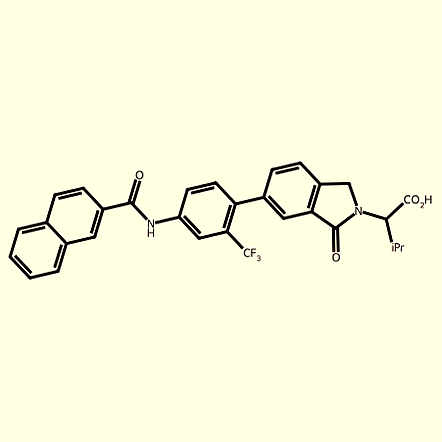 CC(C)C(C(=O)O)N1Cc2ccc(-c3ccc(NC(=O)c4ccc5ccccc5c4)cc3C(F)(F)F)cc2C1=O